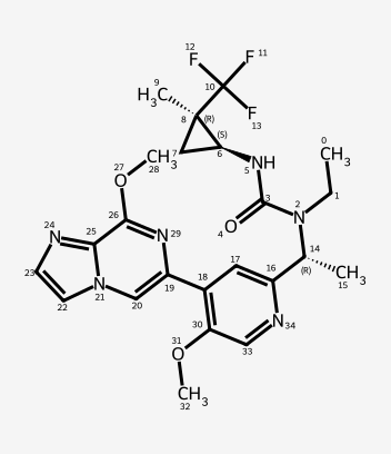 CCN(C(=O)N[C@H]1C[C@@]1(C)C(F)(F)F)[C@H](C)c1cc(-c2cn3ccnc3c(OC)n2)c(OC)cn1